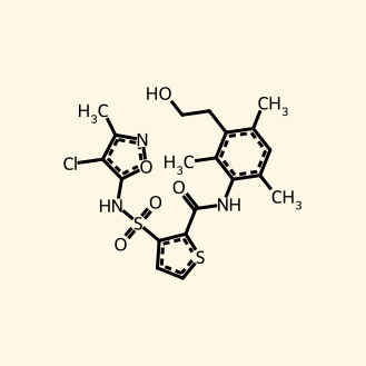 Cc1cc(C)c(NC(=O)c2sccc2S(=O)(=O)Nc2onc(C)c2Cl)c(C)c1CCO